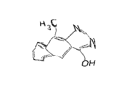 Cc1c2ccccc2cc2c(O)ncnc12